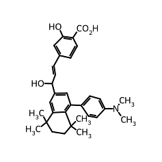 CN(C)c1ccc(-c2cc(C(O)C=Cc3ccc(C(=O)O)c(O)c3)cc3c2C(C)(C)CCC3(C)C)cc1